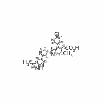 Cc1cc2nc(-c3ccnc(-c4cnc5[nH]cc(C)c5c4)c3)sc2c(-c2ccc(Cl)cc2)c1CC(=O)O